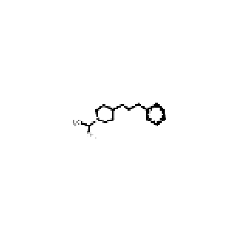 CC(C)N1CCC(CCCc2ccccc2)CC1